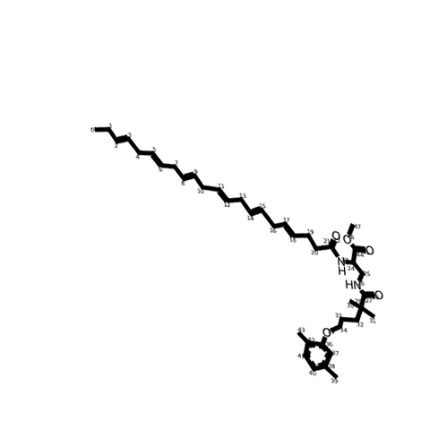 CCC=CCC=CCC=CCC=CCC=CCC=CCCC(=O)NC(CNC(=O)C(C)(C)CCCOc1cc(C)ccc1C)C(=O)OC